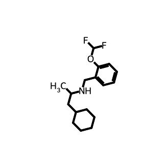 CC(CC1CCCCC1)NCc1ccccc1OC(F)F